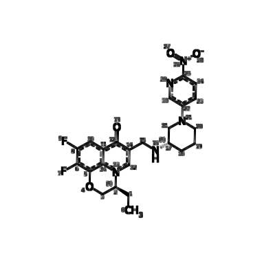 CC[C@H]1COc2c(F)c(F)cc3c(=O)c(CN[C@H]4CCCN(c5ccc([N+](=O)[O-])nc5)C4)cn1c23